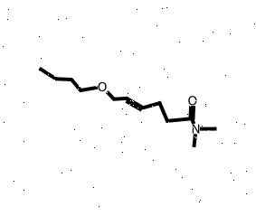 CCCCOC/C=C/CCC(=O)N(C)C